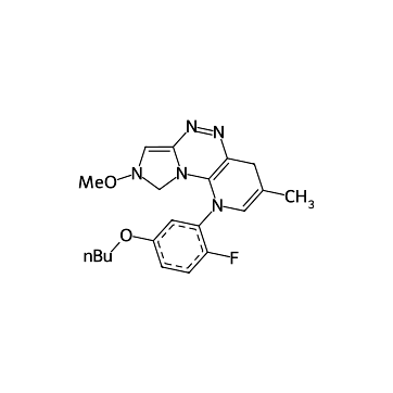 CCCCOc1ccc(F)c(N2C=C(C)CC3=C2N2CN(OC)C=C2N=N3)c1